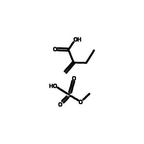 C=C(CC)C(=O)O.COS(=O)(=O)O